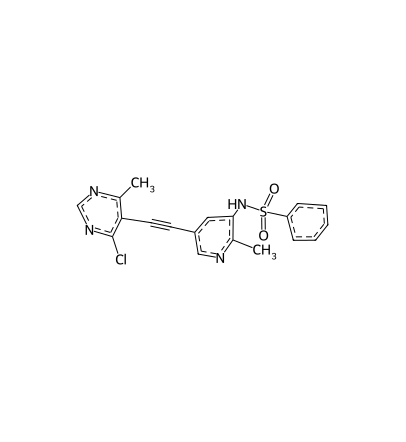 Cc1ncc(C#Cc2c(C)ncnc2Cl)cc1NS(=O)(=O)c1ccccc1